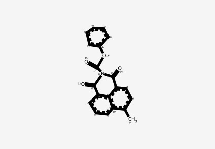 Cc1ccc2c3c(cccc13)C(=O)N(C(=O)Oc1ccccc1)C2=O